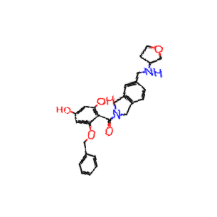 O=C(c1c(O)cc(O)cc1OCc1ccccc1)N1Cc2ccc(CNC3CCOC3)cc2C1